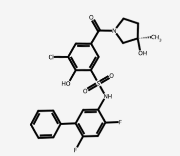 C[C@@]1(O)CCN(C(=O)c2cc(Cl)c(O)c(S(=O)(=O)Nc3cc(-c4ccccc4)c(F)cc3F)c2)C1